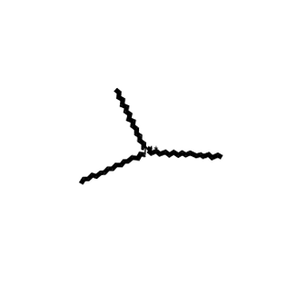 CCCCCCCCCCCCCCCCC[N+](C)(CCCCCCCCCCCCCCCCC)CCCCCCCCCCCCCCCCC